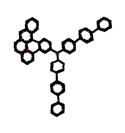 C1=CC(N(c2ccc(-c3ccc(-c4ccccc4)cc3)cc2)c2ccc(-c3c4ccccc4cc4ccccc34)c(-c3ccccc3)c2)CC=C1c1ccc(-c2ccccc2)cc1